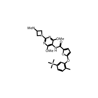 CNC1CN(c2nc(OC)c(NC(=O)c3ccc(Oc4cc([Si](C)(C)C)ccc4C)o3)c(OC)n2)C1